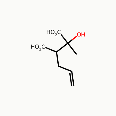 C=CCC(C(=O)O)C(C)(O)C(=O)O